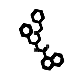 O=C(NC(CNCC1C=CC=CC1)Cc1ccccc1)c1cccc2ccccc12